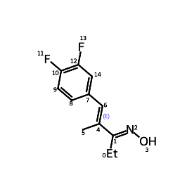 CCC(=NO)/C(C)=C/c1ccc(F)c(F)c1